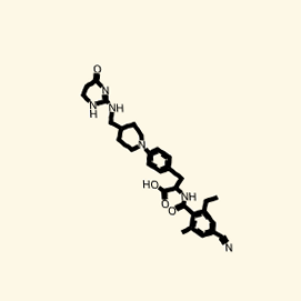 CCc1cc(C#N)cc(C)c1C(=O)NC(Cc1ccc(N2CCC(CNC3=NC(=O)CCN3)CC2)cc1)C(=O)O